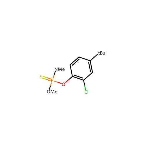 CNP(=S)(OC)Oc1ccc(C(C)(C)C)cc1Cl